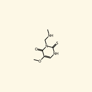 CNCn1c(=S)[nH]cc(OC)c1=O